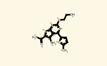 Cc1ccc(-c2nc(OCCO)nc3sc(C(N)=O)c(N)c23)o1